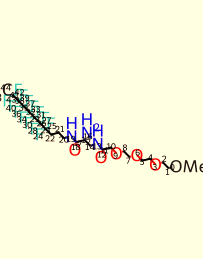 COCCOCCOCCOCC(=O)NCC(N)C(=O)NCCCC(F)(F)C(F)(F)C(F)(F)C(F)(F)C(F)(F)C(F)(F)C(F)(F)C(F)(F)F